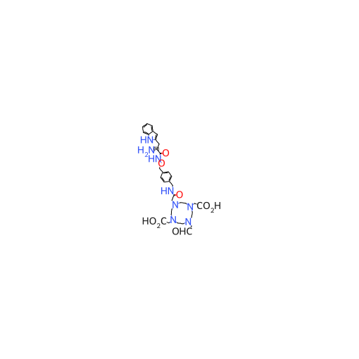 N[C@H](Cc1cc2ccccc2[nH]1)C(=O)NOCc1ccc(CNC(=O)CN2CCN(CC(=O)O)CCN(CC=O)CCN(CC(=O)O)CC2)cc1